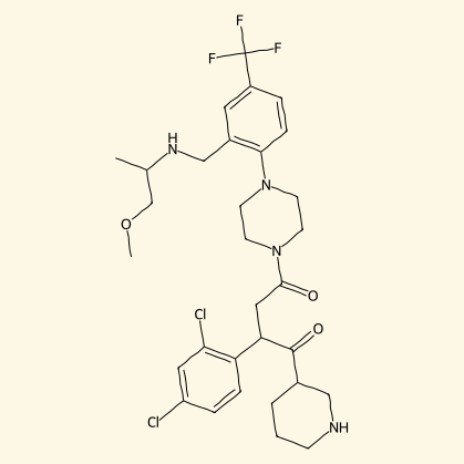 COCC(C)NCc1cc(C(F)(F)F)ccc1N1CCN(C(=O)CC(C(=O)C2CCCNC2)c2ccc(Cl)cc2Cl)CC1